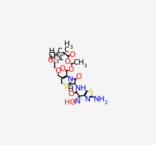 COCCOCC1=C(C(=O)OC(C)OC(=O)C(C)(C)C)N2C(=O)C(NC(=O)/C(=N\O)c3csc(N)n3)[C@@H]2SC1